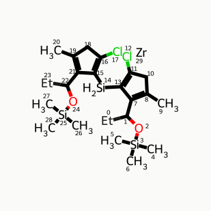 CCC(O[Si](C)(C)C)C1=C(C)CC(Cl)=C1[SiH2]C1=C(Cl)CC(C)=C1C(CC)O[Si](C)(C)C.[Zr]